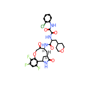 O=C(Nc1ccccc1Cl)C(=O)NC(CC1CCOCC1)C(=O)N[C@H]1C[C@@H]2CC(NC2=O)c2c(F)cc(F)c(F)c2OCC1=O